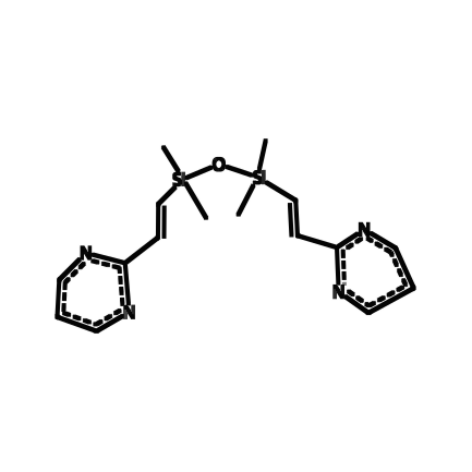 C[Si](C)(C=Cc1ncccn1)O[Si](C)(C)C=Cc1ncccn1